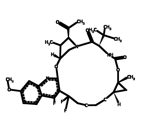 COc1ccc2c(F)c3c(nc2c1)O[C@H]1CN(C(=O)[C@H](C(C)(C)C)NC(=O)O[C@]2(C)C[C@H]2CCCCC3(F)F)[C@H](C(C)=O)C1C